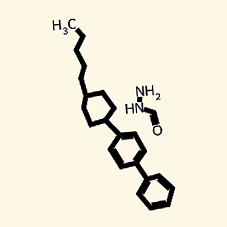 CCCCCC1CCC(c2ccc(-c3ccccc3)cc2)CC1.NNC=O